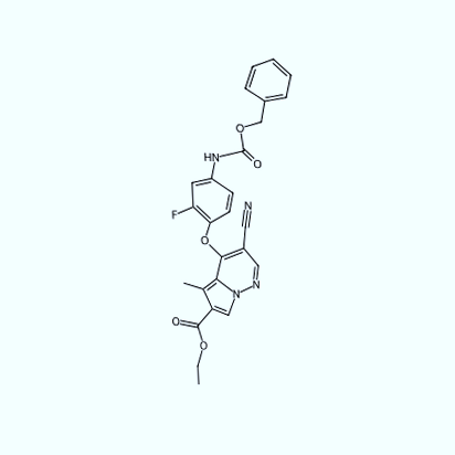 CCOC(=O)c1cn2ncc(C#N)c(Oc3ccc(NC(=O)OCc4ccccc4)cc3F)c2c1C